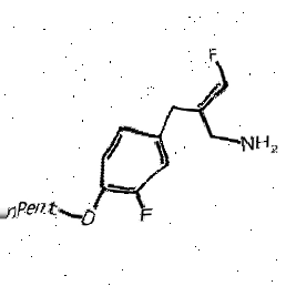 CCCCCOc1ccc(C/C(=C\F)CN)cc1F